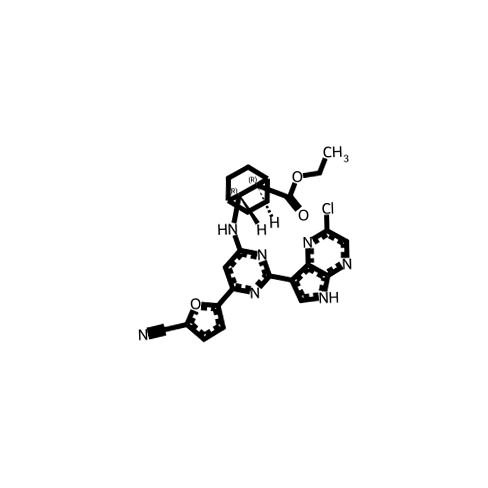 CCOC(=O)[C@@H]1C2CCC(CC2)[C@H]1Nc1cc(-c2ccc(C#N)o2)nc(-c2c[nH]c3ncc(Cl)nc23)n1